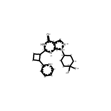 O=c1[nH]c(C2CCC2c2ccccn2)nc2c1cnn2C1CCC(F)(F)CC1